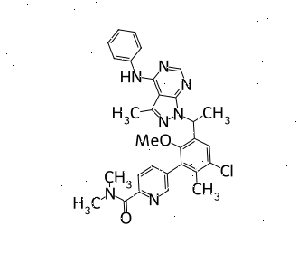 COc1c(C(C)n2nc(C)c3c(Nc4ccccc4)ncnc32)cc(Cl)c(C)c1-c1ccc(C(=O)N(C)C)nc1